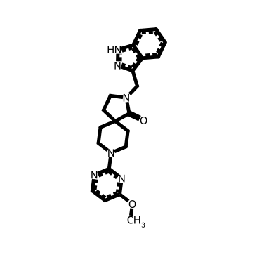 COc1ccnc(N2CCC3(CCN(Cc4n[nH]c5ccccc45)C3=O)CC2)n1